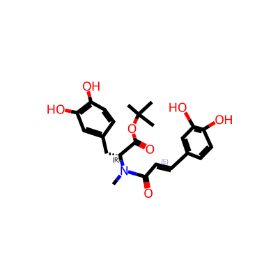 CN(C(=O)/C=C/c1ccc(O)c(O)c1)[C@H](Cc1ccc(O)c(O)c1)C(=O)OC(C)(C)C